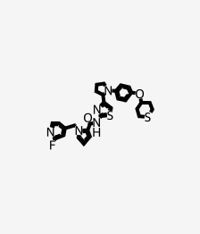 O=C(Nc1nc(C2CCCN2c2ccc(OC3CCSCC3)cc2)cs1)c1cccn1Cc1ccnc(F)c1